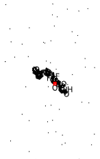 CC1(C)Cc2cccc(CN3CCN(Cc4c(F)cc5c(c4F)CN(C4CCC(=O)NC4=O)C5=O)CC3)c2O1